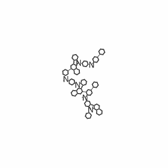 CN(c1ccc(-c2ccccc2)cc1)c1ccc(-n2c3ccccc3c3cc(-c4cccc(N(C)c5ccc(-n6c7ccccc7c7c(-c8cc(-c9ccccc9)ccc8N(C)c8ccc9c(c8)c8ccc%10ccccc%10c8n9-c8ccccc8)cc8ccccc8c76)cc5)c4)c4ccccc4c32)cc1